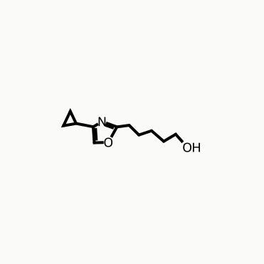 OCCCCCc1nc(C2CC2)co1